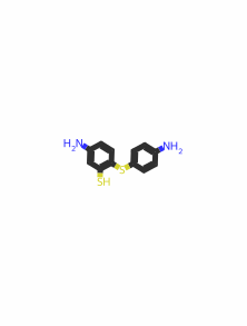 Nc1ccc(Sc2ccc(N)cc2S)cc1